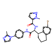 Cc1nccn1-c1ccc(NC(=O)[C@@H](NC(=O)c2ccnn2C)[C@@H]2CCCc3ccc(Br)cc32)cc1